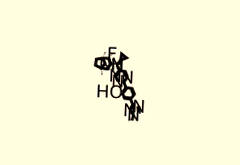 Cn1cnc(-c2ccc(-c3ncc(N(C4CC4)[C@@H]4C[C@@]5(C)CC[C@](C)(N5)[C@@H]4F)nn3)c(O)c2)n1